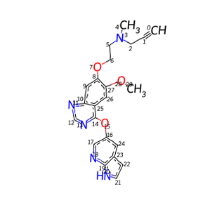 C#CCN(C)CCOc1cc2ncnc(Oc3cnc4[nH]ccc4c3)c2cc1OC